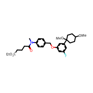 CCOC(=O)CCCC(=O)N(C)c1ccc(COc2cc(F)cc(C3(OC)CCC(OC)CC3)c2)cc1